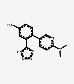 CN(C)c1ccc(-c2ccc(N)cc2-c2nnn[nH]2)cn1